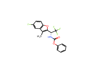 Cc1c([C@@H](NC(=O)Oc2ccccc2)C(F)(F)F)oc2ccc(F)cc12